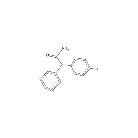 NC(=O)C(c1ccccc1)c1ccc(F)cc1